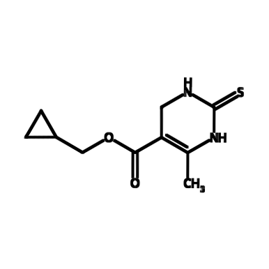 CC1=C(C(=O)OCC2CC2)CNC(=S)N1